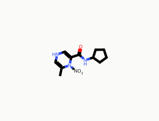 CC1=CNC=C(C(=O)NC2CCCC2)N1[N+](=O)[O-]